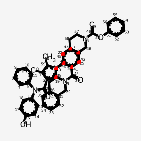 Cc1c(C(=O)N(c2ccccc2)c2ccc(O)cc2)cn(-c2cc3c(cc2C(=O)N2Cc4ccccc4C[C@H]2CN2CCOCC2)CN(C(=O)Oc2ccccc2)CC3)c1C